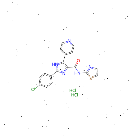 Cl.Cl.O=C(Nc1nccs1)c1nc(-c2ccc(Cl)cc2)[nH]c1-c1ccncc1